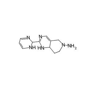 NN1CCC2NC(C3N=CC=CN3)=NC=C2C1